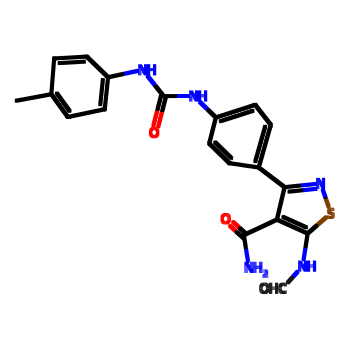 Cc1ccc(NC(=O)Nc2ccc(-c3nsc(NC=O)c3C(N)=O)cc2)cc1